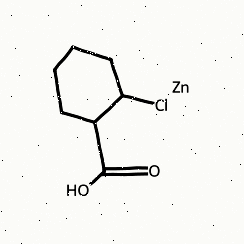 O=C(O)C1CCCCC1Cl.[Zn]